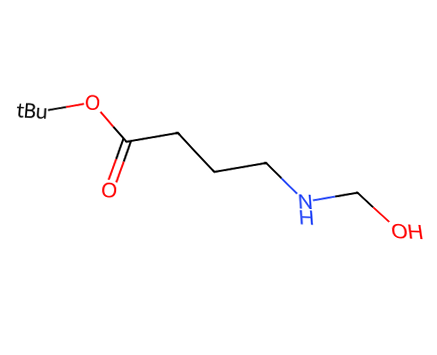 CC(C)(C)OC(=O)CCCNCO